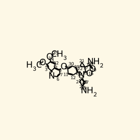 COc1cc2nccc(Oc3ccc(N(C(=O)C4(C(N)=O)CC4)C45CC(N)(C4)C5)cc3)c2cc1OC